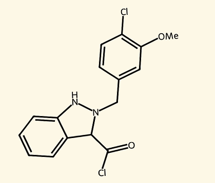 COc1cc(CN2Nc3ccccc3C2C(=O)Cl)ccc1Cl